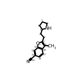 Cc1c(CCC2CCCN2)oc2cc(C#N)ccc12